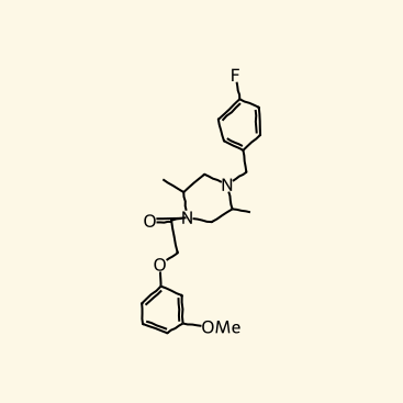 COc1cccc(OCC(=O)N2CC(C)N(Cc3ccc(F)cc3)CC2C)c1